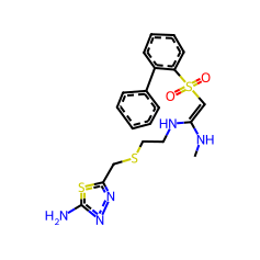 CNC(=CS(=O)(=O)c1ccccc1-c1ccccc1)NCCSCc1nnc(N)s1